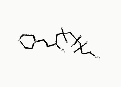 CN(CCN1CCOCC1)CC(F)(F)CC(F)(F)C(F)(F)CCC(F)(F)F